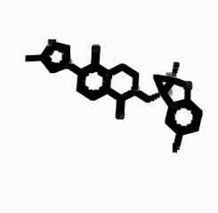 Cc1cn(-c2ccc3n(c2=O)CCN(C[C@]24C[C@@]2(C)Oc2ccc(F)cc24)C3=O)cn1